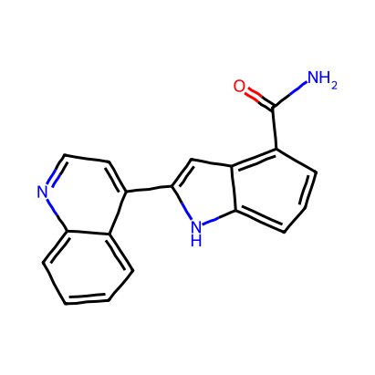 NC(=O)c1cccc2[nH]c(-c3ccnc4ccccc34)cc12